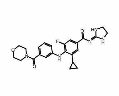 O=C(N=C1NCCN1)c1cc(F)c(Nc2cccc(C(=O)N3CCOCC3)c2)c(C2CC2)c1